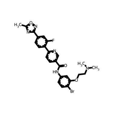 Cc1nc(-c2ccc(-c3ccc(C(=O)Nc4ccc(Br)c(OCCN(C)C)c4)cn3)c(F)c2)no1